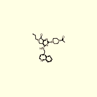 CCCN1Cc2c(NCc3ccnc4ccccc34)nc(N3CCN(C(C)=O)CC3)nc2C1=O